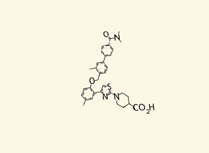 Cc1ccc(OCc2ccc(-c3ccc(C(=O)N(C)C)cc3)cc2C)c(-c2csc(N3CCC(C(=O)O)CC3)n2)c1